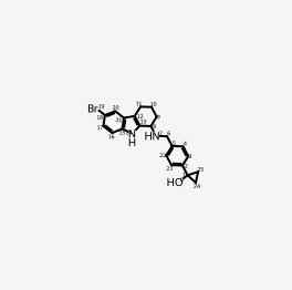 OC1(c2ccc(CNC3CCCc4c3[nH]c3ccc(Br)cc43)cc2)CC1